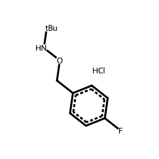 CC(C)(C)NOCc1ccc(F)cc1.Cl